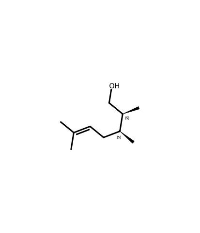 CC(C)=CC[C@H](C)[C@H](C)CO